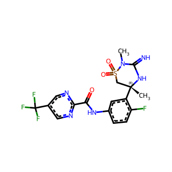 CN1C(=N)N[C@](C)(c2cc(NC(=O)c3ncc(C(F)(F)F)cn3)ccc2F)CS1(=O)=O